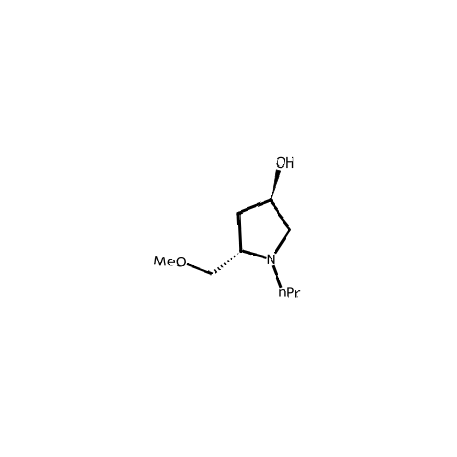 CCCN1C[C@H](O)C[C@H]1COC